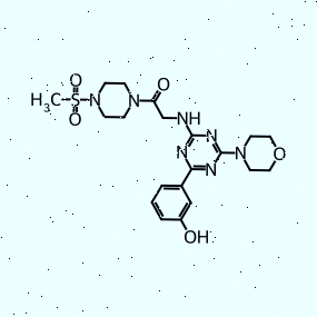 CS(=O)(=O)N1CCN(C(=O)CNc2nc(-c3cccc(O)c3)nc(N3CCOCC3)n2)CC1